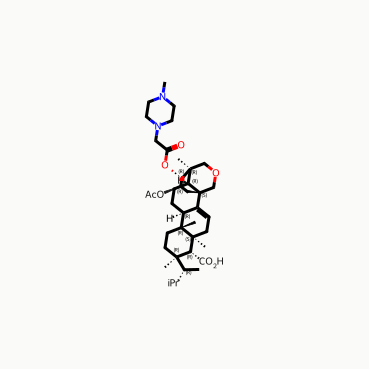 CC(=O)O[C@@H]1C[C@]23COC[C@@](C)([C@@H]2CC[C@H]2C3=CC[C@@]3(C)[C@H](C(=O)O)[C@@](C)([C@H](C)C(C)C)CC[C@]23C)[C@H]1OC(=O)CN1CCN(C)CC1